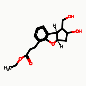 CCOC(=O)CCc1cccc2c1O[C@@H]1CC(O)C(CO)[C@H]21